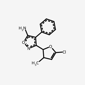 CC1C=C(Cl)OC1c1noc(N)c1-c1ccccc1